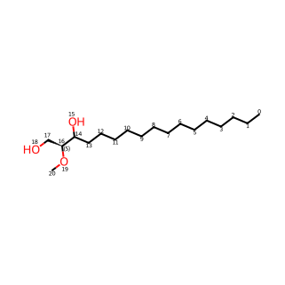 CCCCCCCCCCCCCCC(O)[C@H](CO)OC